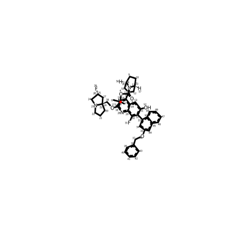 CC(C)(C)OC(=O)N1[C@@H]2CC[C@H]1CN(c1nc(OC[C@@]34CCCN3C[C@H](F)C4)nc3c(F)c(-c4cc(OCc5ccccc5)cc5ccccc45)c(O)cc13)C2